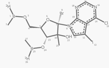 [2H]B(C)OC[C@H]1O[C@@](Br)(n2cc(I)c3c(Cl)ncnc32)C(C)(O)[C@@H]1OB([2H])C